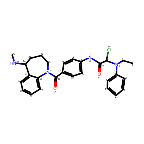 CCN(c1ccccc1)C(Cl)C(=O)Nc1ccc(C(=O)N2CCCC(NC)c3ccccc32)cc1